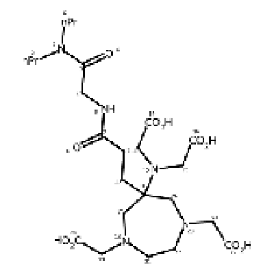 CCCN(CCC)C(=O)CNC(=O)CCC1(N(CC(=O)O)CC(=O)O)CN(CC(=O)O)CCN(CC(=O)O)C1